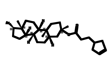 CC(=O)[C@H]1CC[C@H]2[C@@H]3CC[C@H]4C[C@](C)(OC(=O)CCC5CC=CC5)CC[C@]4(C)[C@H]3CC[C@]12C